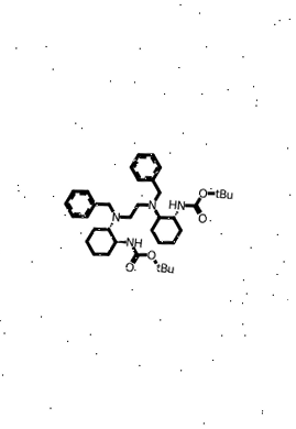 CC(C)(C)OC(=O)N[C@H]1CCCC[C@@H]1N(CCN(Cc1ccccc1)C1CCCC[C@H]1NC(=O)OC(C)(C)C)Cc1ccccc1